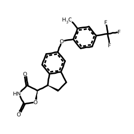 Cc1cc(C(F)(F)F)ccc1Oc1ccc2c(c1)CC[C@H]2[C@H]1OC(=O)NC1=O